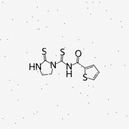 O=C(NC(=S)N1CCNC1=S)c1cccs1